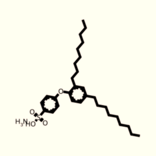 CCCCCCCCCc1ccc(Oc2ccc(S(=O)(=O)O)cc2)c(CCCCCCCCC)c1.N